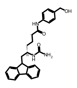 NC(=O)N[C@@H](CC[CH]C(=O)Nc1ccc(CO)cc1)CC1c2ccccc2-c2ccccc21